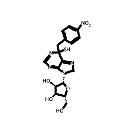 O=[N+]([O-])c1ccc(CC2(S)N=CN=C3C2=NCN3[C@@H]2O[C@H](CO)[C@@H](O)[C@H]2O)cc1